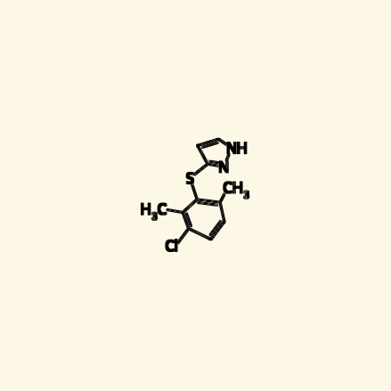 Cc1ccc(Cl)c(C)c1Sc1cc[nH]n1